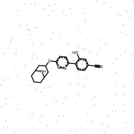 N#Cc1ccc(-c2ccc(OC3CC4CCCC(C3)N4)nn2)c(O)c1